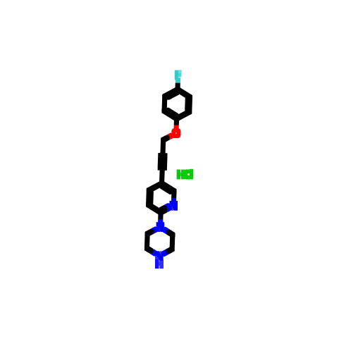 Cl.Fc1ccc(OCC#Cc2ccc(N3CCNCC3)nc2)cc1